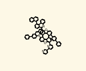 C1=CC2=Cc3cc(-c4ccccc4)ccc3N(c3ccc4oc5c(-c6cccc(-c7cccnc7)n6)ccc6c7c(-c8ccc(-c9ccccc9)cc8)ccc8oc9c(-c%10nc%11ccccc%11c%11c(-c%12cccc%13ccccc%12%13)cccc%10%11)ccc(c3c4c56)c9c87)C2C=C1